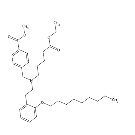 CCCCCCCCCOc1ccccc1CCN(CCCCC(=O)OCC)Cc1ccc(C(=O)OC)cc1